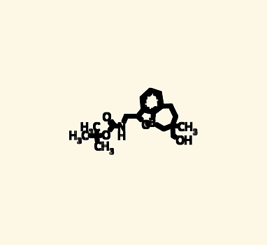 CC1(CO)CCc2cccc3c2B(C1)OC3CNC(=O)OC(C)(C)C